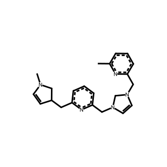 Cc1cccc(CN2C=CN(Cc3cccc(CC4C=CN(C)C4)n3)C2)n1